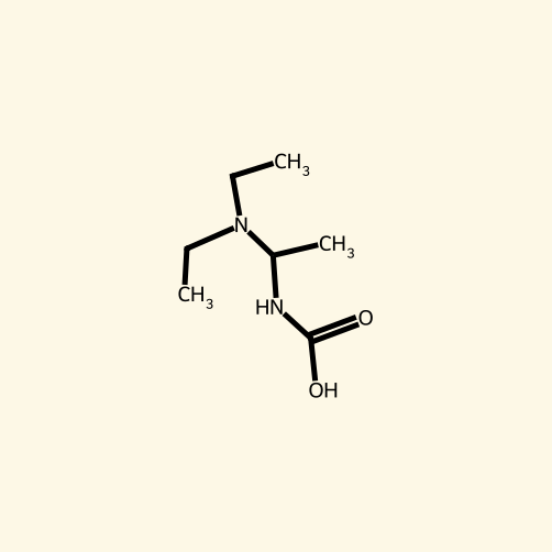 CCN(CC)C(C)NC(=O)O